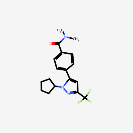 CN(C)C(=O)c1ccc(-c2cc(C(F)(F)F)nn2C2CCCC2)cc1